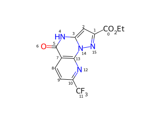 CCOC(=O)c1cc2[nH]c(=O)c3ccc(C(F)(F)F)nc3n2n1